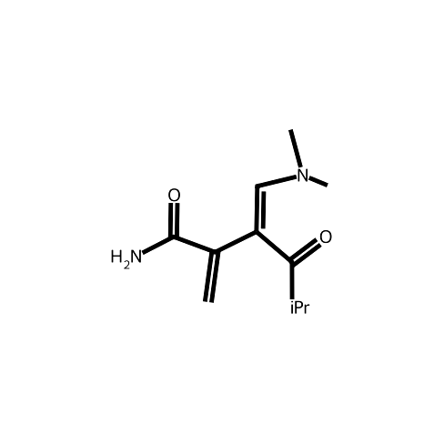 C=C(C(N)=O)/C(=C/N(C)C)C(=O)C(C)C